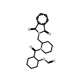 O=COC1CCCCC1C(=O)N1CCCCC1CN1C(=O)c2ccccc2C1=O